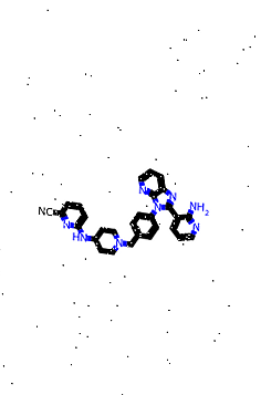 N#Cc1cccc(NC2CCN(Cc3ccc(-n4c(-c5cccnc5N)nc5cccnc54)cc3)CC2)n1